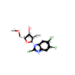 CCCCOC[C@H]1O[C@@H](n2c(Cl)nc3cc(Cl)c(Cl)cc32)[C@H](OC(C)=O)[C@@H]1O